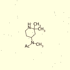 CC(=O)N(C)C1CCNC(C)(C)C1